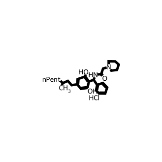 CCCCCC(C)CCc1cc(O)c(C(NC(=O)CN2CCCCC2)c2ccccc2)c(O)c1.Cl